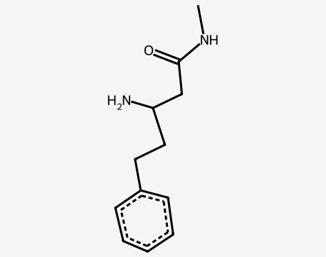 CNC(=O)CC(N)CCc1ccccc1